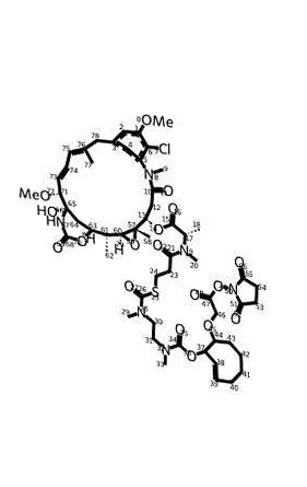 COc1cc2cc(c1Cl)N(C)C(=O)C[C@H](OC(=O)[C@H](C)N(C)C(=O)CCSC(=O)N(C)CCN(C)C(=O)OC1/C=C/CCCCC1OCC(=O)ON1C(=O)CCC1=O)[C@]1(C)O[C@H]1[C@H](C)[C@@H]1C[C@@](O)(NC(=O)O1)[C@H](OC)/C=C/C=C(\C)C2